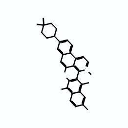 Cc1ccc2c(C(C)(C)C)c3c(c(C)c2c1)-c1c2c(cc4cc(C5CCC(C)(C)CC5)ccc4c2cc[n+]1C)O3